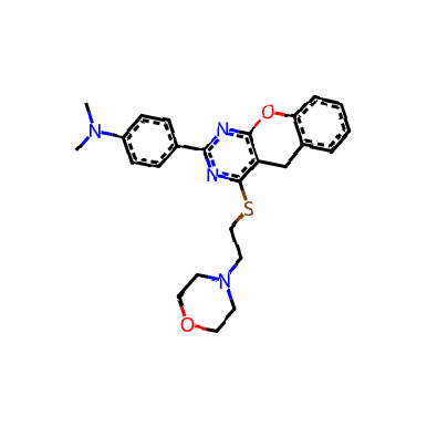 CN(C)c1ccc(-c2nc3c(c(SCCN4CCOCC4)n2)Cc2ccccc2O3)cc1